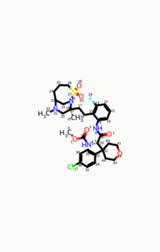 COC(=O)N[C@H](C(=O)Nc1cccc(F)c1CC[C@@]1(C)CN(C)C2CCCS(=O)(=O)N1C2)C1(c2ccc(Cl)cc2)CCOCC1